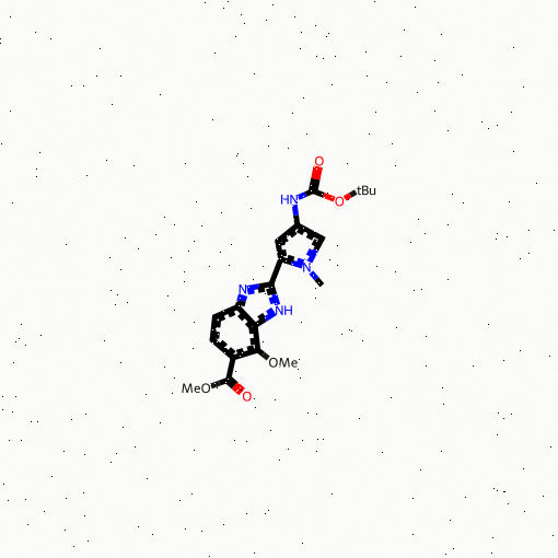 COC(=O)c1ccc2nc(-c3cc(NC(=O)OC(C)(C)C)cn3C)[nH]c2c1OC